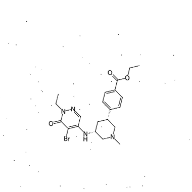 CCOC(=O)c1ccc([C@H]2C[C@@H](Nc3cnn(CC)c(=O)c3Br)CN(C)C2)cc1